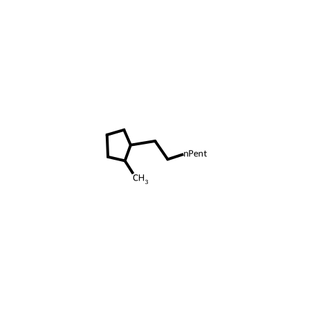 CCCCCCCC1CCCC1C